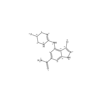 NC(=O)c1cc(NC2=NCC(F)CN2)c2c(Cl)n[nH]c2c1